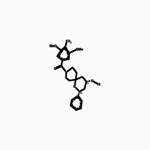 CCO[C@@H]1C[C@H](c2ccccc2)OC2(CCN(C(=O)c3cc(OC)c(C)c(OC)c3)CC2)C1